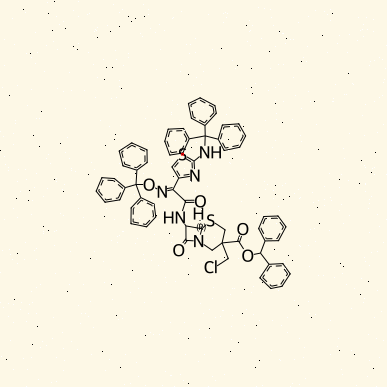 O=C(NC1C(=O)N2CC(CCl)(C(=O)OC(c3ccccc3)c3ccccc3)CS[C@H]12)C(=NOC(c1ccccc1)(c1ccccc1)c1ccccc1)c1csc(NC(c2ccccc2)(c2ccccc2)c2ccccc2)n1